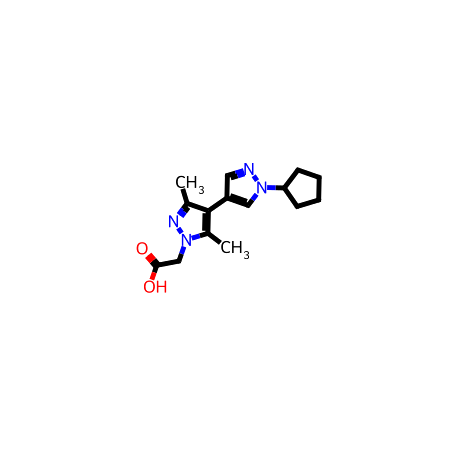 Cc1nn(CC(=O)O)c(C)c1-c1cnn(C2CCCC2)c1